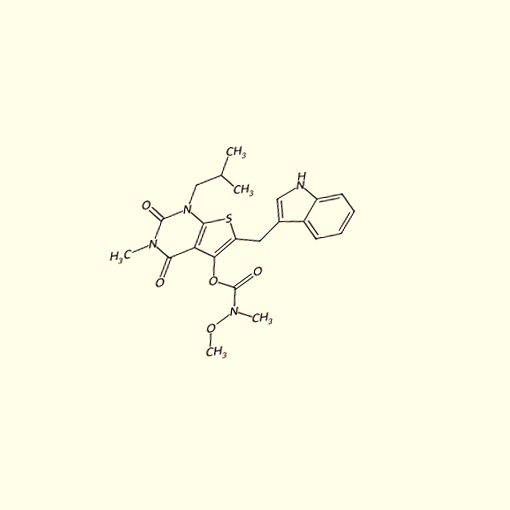 CON(C)C(=O)Oc1c(Cc2c[nH]c3ccccc23)sc2c1c(=O)n(C)c(=O)n2CC(C)C